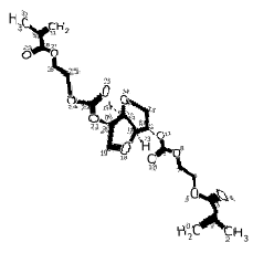 C=C(C)C(=O)OCCOC(=O)O[C@H]1CO[C@@]2(I)[C@@H]1OC[C@H]2OC(=O)OCCOC(=O)C(=C)C